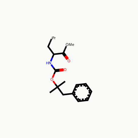 COC(=O)C(CC(C)C)NC(=O)OC(C)(C)Cc1ccccc1